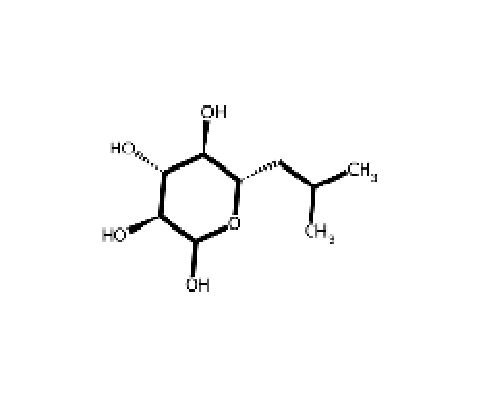 CC(C)C[C@@H]1OC(O)[C@@H](O)[C@H](O)[C@H]1O